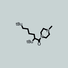 CN1CCN(C(=O)C(CCCCC(C)(C)C)C(C)(C)C)CC1